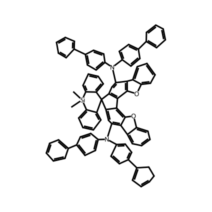 C[Si]1(C)c2ccccc2C2(c3ccccc31)c1cc(N(c3ccc(C4=CC=CCC4)cc3)c3ccc(-c4ccccc4)cc3)c3c(oc4ccccc43)c1-c1c2cc(N(c2ccc(-c3ccccc3)cc2)c2ccc(-c3ccccc3)cc2)c2c1oc1ccccc12